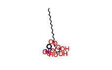 CCCCCCCCCCCCCCCC(=O)OC[C@H]1O[C@H](O)[C@H](O)[C@@H](O)[C@@H]1Oc1ccccc1[N+](=O)[O-]